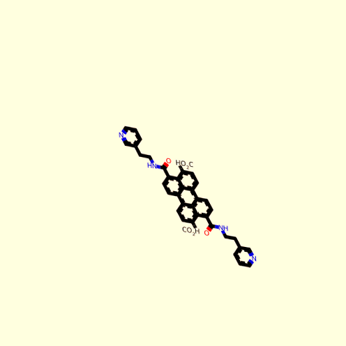 O=C(O)c1ccc2c3ccc(C(=O)NCCc4cccnc4)c4c(C(=O)O)ccc(c5ccc(C(=O)NCCc6cccnc6)c1c25)c43